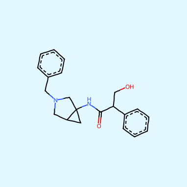 O=C(NC12CC1CN(Cc1ccccc1)C2)C(CO)c1ccccc1